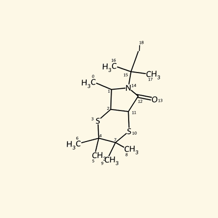 CC1C2SC(C)(C)C(C)(C)SC2C(=O)N1C(C)(C)I